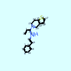 C=CC(NCCc1ccccc1)N1CCc2sccc2C1